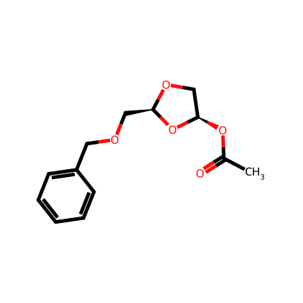 CC(=O)O[C@@H]1CO[C@H](COCc2ccccc2)O1